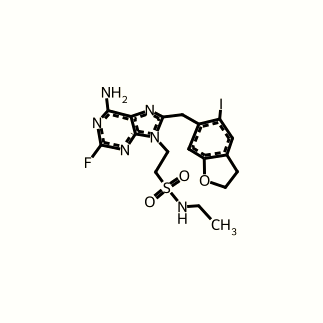 CCNS(=O)(=O)CCn1c(Cc2cc3c(cc2I)CCO3)nc2c(N)nc(F)nc21